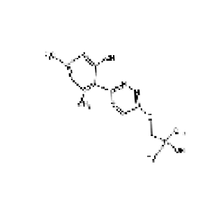 Cc1cc(C(F)(F)F)cc(O)c1-c1ccc(OCC(C)(C)O)nn1